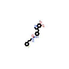 COc1cc2nccc(Cc3ccc(NC(=O)NCCCc4cccc(F)c4)cc3)c2cc1OC